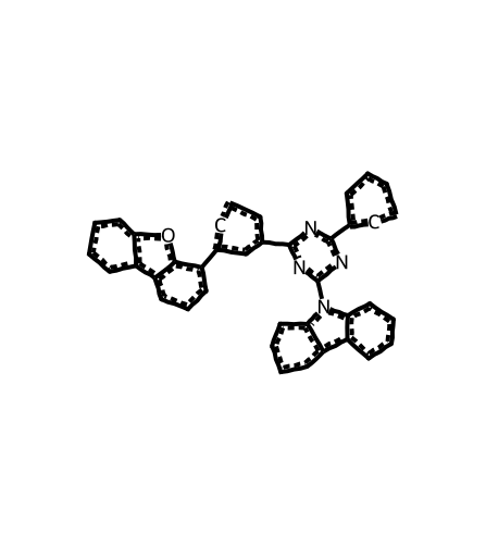 c1ccc(-c2nc(-c3cccc(-c4cccc5c4oc4ccccc45)c3)nc(-n3c4ccccc4c4ccccc43)n2)cc1